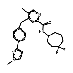 Cc1cnc(C(=O)NC2CCCC(F)(F)CC2)cc1Cc1ccc(-c2ccn(C)n2)cc1